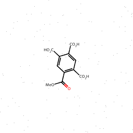 COC(=O)c1cc(C(=O)O)c(C(=O)O)cc1C(=O)O